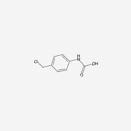 O=C(O)Nc1ccc(CCl)cc1